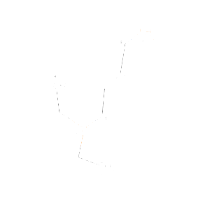 CCP(CC)CCCCP